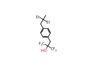 CCC(C)(CC)Cc1ccc(CC(O)(C(F)(F)F)C(F)(F)F)cc1